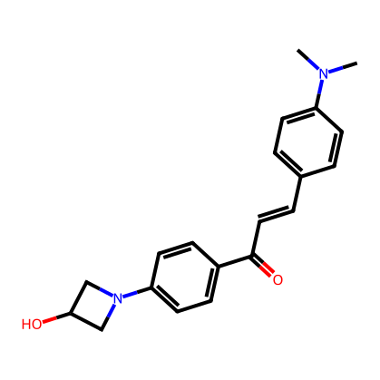 CN(C)c1ccc(C=CC(=O)c2ccc(N3CC(O)C3)cc2)cc1